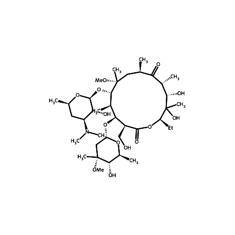 CC[C@H]1OC(=O)[C@@H](CO)[C@@H](O[C@H]2C[C@@](C)(OC)[C@@H](O)[C@H](C)O2)[C@@H](C)[C@H](O[C@@H]2O[C@H](C)C[C@H](N(C)C)[C@H]2O)[C@](C)(OC)C[C@@H](C)C(=O)[C@H](C)[C@H](O)C1(C)O